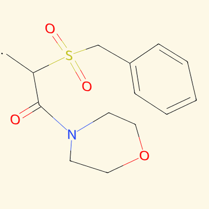 [CH2]C(C(=O)N1CCOCC1)S(=O)(=O)Cc1ccccc1